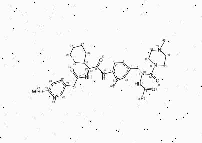 CCC(=O)N[C@H](Cc1ccc(NC(=O)[C@@H](NC(=O)Cc2ccc(OC)nc2)C2CCCCC2)c(F)c1)C(=O)N1CCN(C)CC1